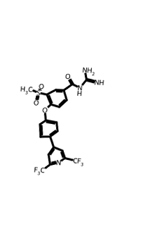 CS(=O)(=O)c1cc(C(=O)NC(=N)N)ccc1Oc1ccc(-c2cc(C(F)(F)F)nc(C(F)(F)F)c2)cc1